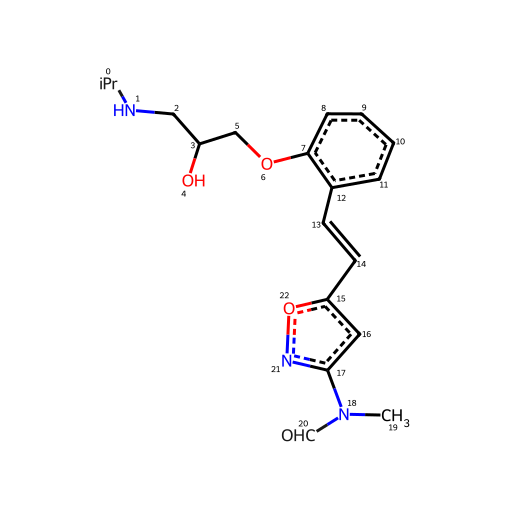 CC(C)NCC(O)COc1ccccc1C=Cc1cc(N(C)C=O)no1